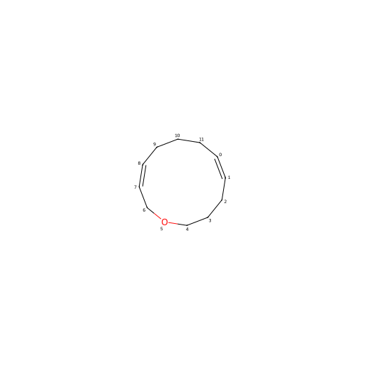 C1=CCCCOCC=CCCC1